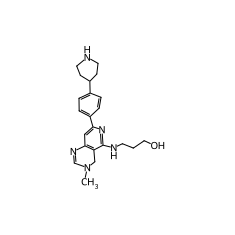 CN1C=Nc2cc(-c3ccc(C4CCNCC4)cc3)nc(NCCCO)c2C1